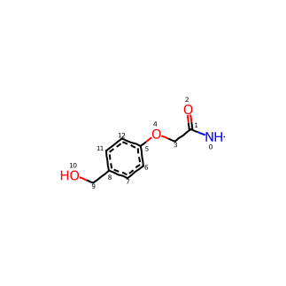 [NH]C(=O)COc1ccc(CO)cc1